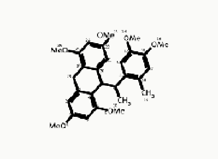 COc1cc2c(c(OC)c1)C(C(C)c1cc(OC)c(OC)cc1C)c1cc(OC)cc(OC)c1C2